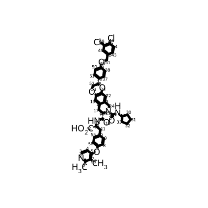 Cc1nccc(Oc2ccc(C[C@H](NC(=O)[C@@H]3Cc4cc5c(cc4CN3C(=O)NC3CCCC3)O[C@@H](c3ccc(OCc4ccc(Cl)c(Cl)c4)cc3)CO5)C(=O)O)cc2)c1C